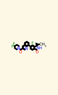 CC1CC12NC(=O)c1ccc(-c3cccc4cc(C(=O)N5CCC(F)(F)CC5)cnc34)c(F)c12